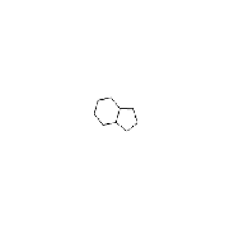 [CH]1CCC[C]2CCCC12